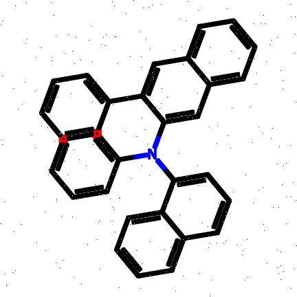 c1ccc(-c2cc3ccccc3cc2N(c2ccccc2)c2cccc3ccccc23)cc1